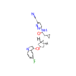 N#Cc1ccc(NC(=O)C(C2CC2)[C@@H]2[C@@H]3C[C@@H](Oc4ccnc5ccc(F)cc45)C[C@@H]32)nn1